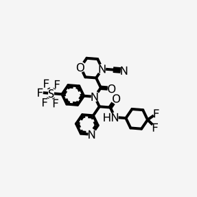 N#CN1CCOCC1C(=O)N(c1ccc(S(F)(F)(F)(F)F)cc1)C(C(=O)NC1CCC(F)(F)CC1)c1cccnc1